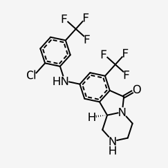 O=C1c2c(cc(Nc3cc(C(F)(F)F)ccc3Cl)cc2C(F)(F)F)[C@@H]2CNCCN12